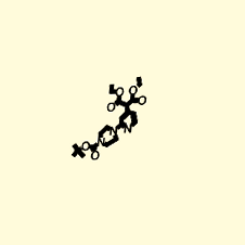 CCOC(=O)C(C(=O)OCC)c1ccnc(N2CCN(C(=O)OC(C)(C)C)CC2)c1